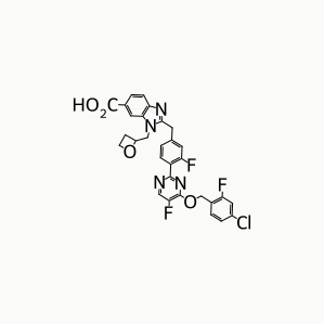 O=C(O)c1ccc2nc(Cc3ccc(-c4ncc(F)c(OCc5ccc(Cl)cc5F)n4)c(F)c3)n(CC3CCO3)c2c1